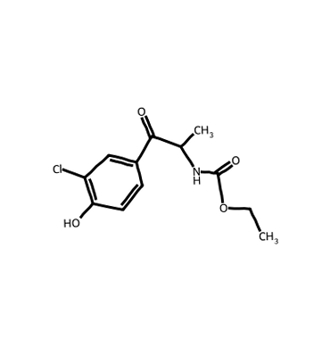 CCOC(=O)NC(C)C(=O)c1ccc(O)c(Cl)c1